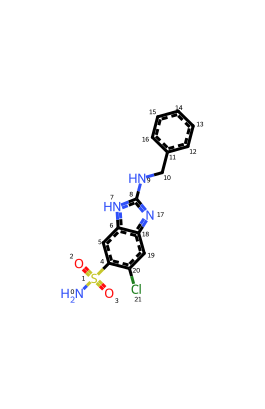 NS(=O)(=O)c1cc2[nH]c(NCc3ccccc3)nc2cc1Cl